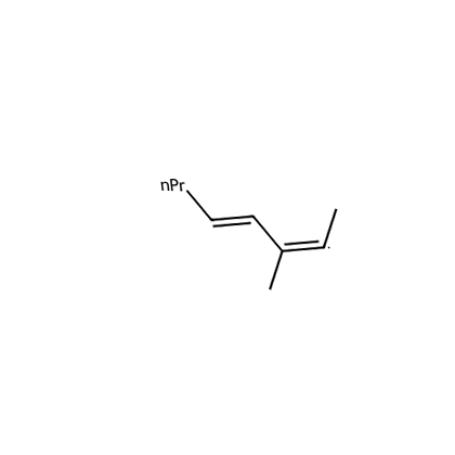 C/[C]=C(C)\C=C\CCC